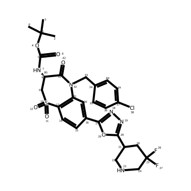 CC(C)(C)OC(=O)N[C@H]1CS(=O)(=O)c2ccc(-c3nnc(C4CNCC(F)(F)C4)o3)cc2N(Cc2ccc(Cl)cc2)C1=O